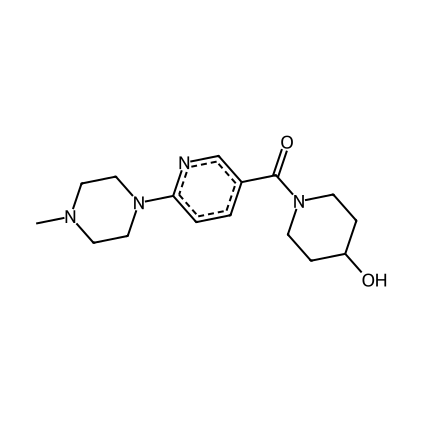 CN1CCN(c2ccc(C(=O)N3CCC(O)CC3)cn2)CC1